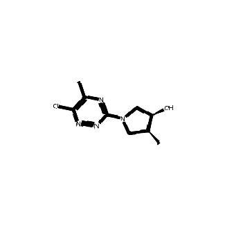 Cc1nc(N2C[C@@H](O)[C@@H](C)C2)nnc1Cl